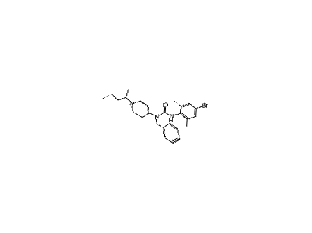 CCCC(C)N1CCC(N(Cc2ccccc2)C(=O)Nc2c(C)cc(Br)cc2C)CC1